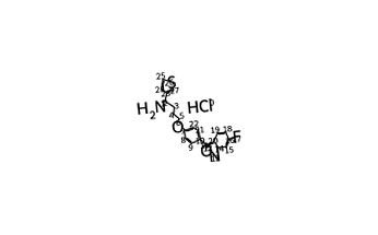 Cl.NC(CCCOc1ccc(-c2onc3cc(F)ccc23)cc1)c1ccsc1